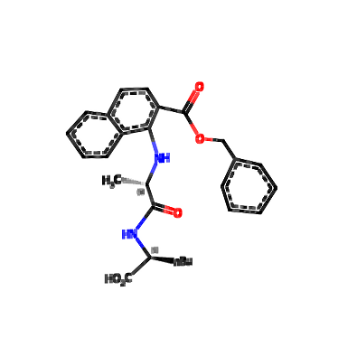 CCCC[C@H](NC(=O)[C@H](C)Nc1c(C(=O)OCc2ccccc2)ccc2ccccc12)C(=O)O